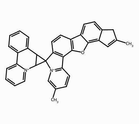 CC1=Cc2c(ccc3c2oc2c4c(ccc23)C2(C3c5ccccc5-c5cccc[n+]5C32)[n+]2cc(C)ccc2-4)C1